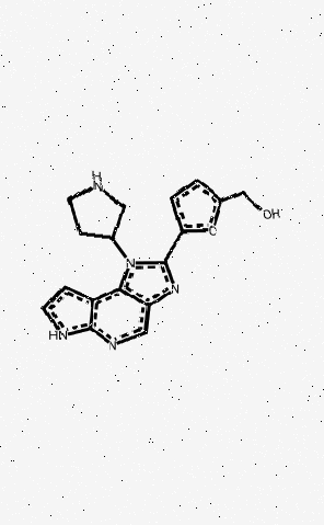 OCc1ccc(-c2nc3cnc4[nH]ccc4c3n2C2CCNC2)o1